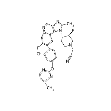 Cc1ccnc(Oc2ccc(-c3cc4c(cc3F)ncc3nc(C)n([C@H]5CCN(CC#N)C[C@@H]5F)c34)c(Cl)c2)n1